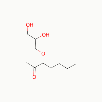 CCCCC(OCC(O)CO)C(C)=O